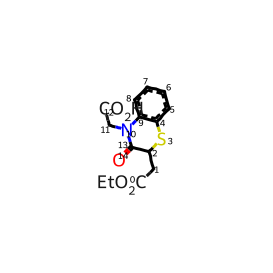 CCOC(=O)CC1Sc2ccccc2N(CC(=O)O)C1=O